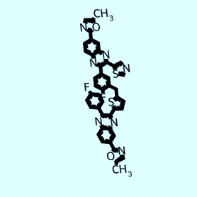 Cc1cnc(-c2ccc3nc(-c4ccc(F)c(Cc5ccc(-c6nc7cc(-c8ncc(C)o8)ccc7nc6-c6ccc(F)cc6)s5)c4)c(-c4cncs4)nc3c2)o1